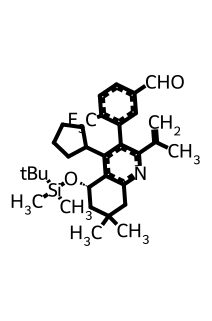 C=C(C)c1nc2c(c(C3CCCC3)c1-c1cc(C=O)ccc1C(F)(F)F)[C@@H](O[Si](C)(C)C(C)(C)C)CC(C)(C)C2